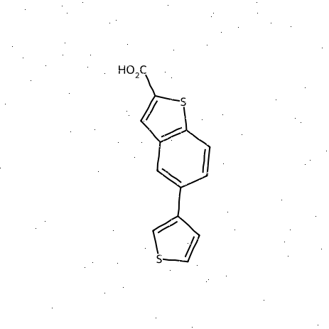 O=C(O)c1cc2cc(-c3ccsc3)ccc2s1